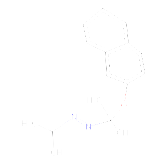 CC(C)N=NC(C)(C)Oc1ccc2ccccc2c1